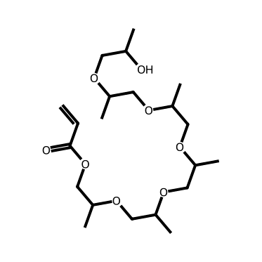 C=CC(=O)OCC(C)OCC(C)OCC(C)OCC(C)OCC(C)OCC(C)O